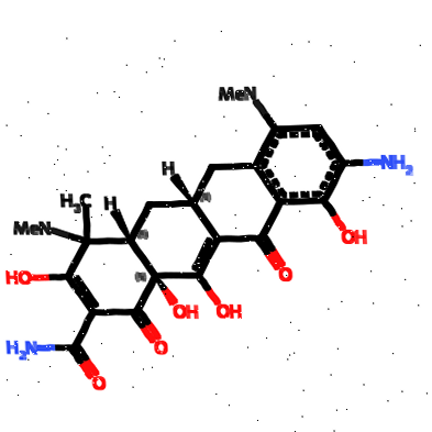 CNc1cc(N)c(O)c2c1C[C@H]1C[C@H]3C(C)(NC)C(O)=C(C(N)=O)C(=O)[C@@]3(O)C(O)=C1C2=O